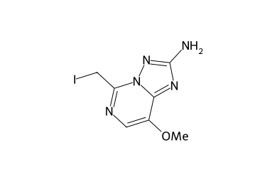 COc1cnc(CI)n2nc(N)nc12